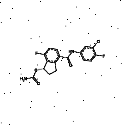 NC(=O)O[C@H]1CCc2c(C(=O)Nc3ccc(F)c(Cl)c3)ccc(F)c21